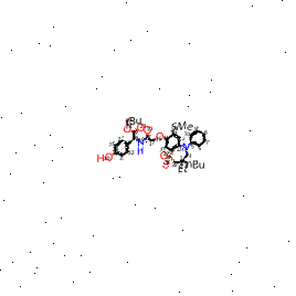 CCCCC1(CC)CN(c2ccccc2)c2cc(SC)c(OCC(=O)N[C@@H](C(=O)OC(C)(C)C)c3ccc(O)cc3)cc2S(=O)(=O)C1